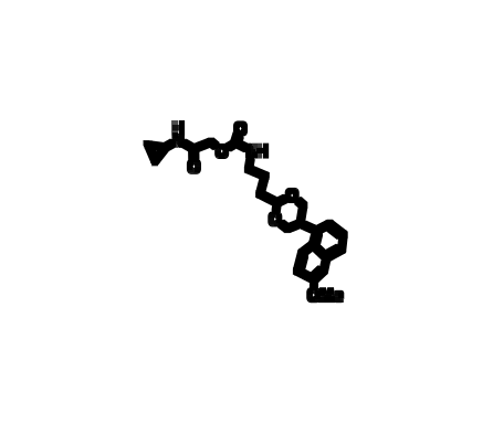 COc1ccc2c(C3COC(CCCNC(=O)OCC(=O)NC4CC4)OC3)cccc2c1